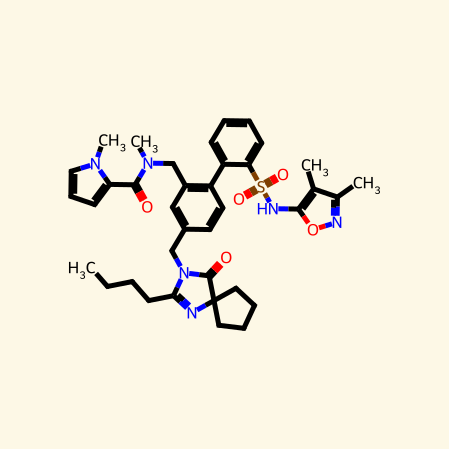 CCCCC1=NC2(CCCC2)C(=O)N1Cc1ccc(-c2ccccc2S(=O)(=O)Nc2onc(C)c2C)c(CN(C)C(=O)c2cccn2C)c1